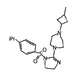 CC1CC(N2CCN(C3=NCCN3S(=O)(=O)c3ccc(C(C)C)cc3)CC2)C1